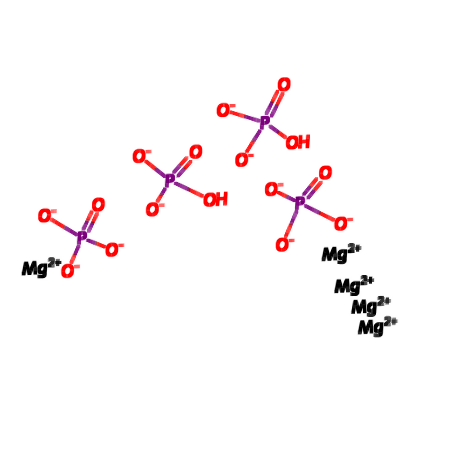 O=P([O-])([O-])O.O=P([O-])([O-])O.O=P([O-])([O-])[O-].O=P([O-])([O-])[O-].[Mg+2].[Mg+2].[Mg+2].[Mg+2].[Mg+2]